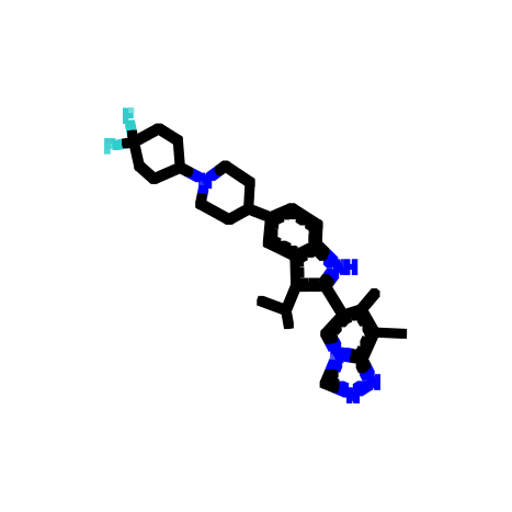 Cc1c(-c2[nH]c3ccc(C4CCN(C5CCC(F)(F)CC5)CC4)cc3c2C(C)C)cn2cnnc2c1C